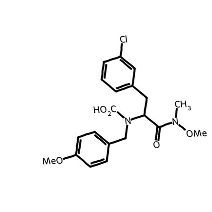 COc1ccc(CN(C(=O)O)C(Cc2cccc(Cl)c2)C(=O)N(C)OC)cc1